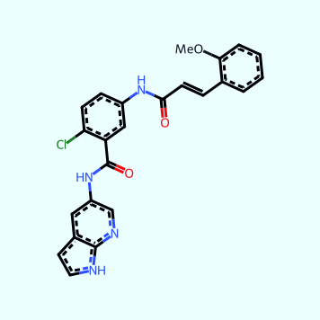 COc1ccccc1C=CC(=O)Nc1ccc(Cl)c(C(=O)Nc2cnc3[nH]ccc3c2)c1